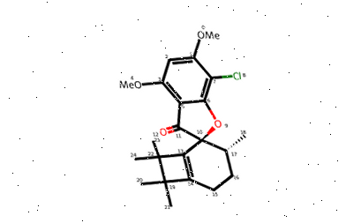 COc1cc(OC)c2c(c1Cl)O[C@]1(C2=O)C2=C(CC[C@H]1C)C(C)(C)C2(C)C